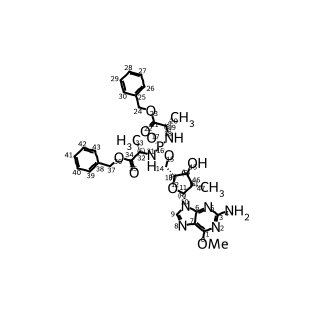 COc1nc(N)nc2c1ncn2[C@@H]1O[C@H](COP(=O)(N[C@@H](C)C(=O)OCc2ccccc2)N[C@@H](C)C(=O)OCc2ccccc2)[C@@H](O)[C@@H]1C